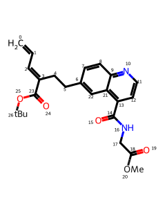 C=C/C=C(\CCc1ccc2nccc(C(=O)NCC(=O)OC)c2c1)C(=O)OC(C)(C)C